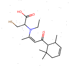 CCN(C(C)=CC(=O)C1C(C)C=CCC1(C)C)C(CS)C(=O)O